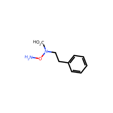 NON(CCc1ccccc1)C(=O)O